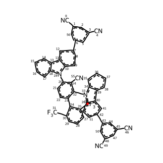 N#Cc1cc(C#N)cc(-c2ccc3c(c2)c2ccccc2n3-c2ccc(-c3c(C(F)(F)F)cccc3C(F)(F)F)c(-n3c4ccccc4c4cc(-c5cc(C#N)cc(C#N)c5)ccc43)c2C#N)c1